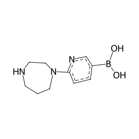 OB(O)c1ccc(N2CCCNCC2)nc1